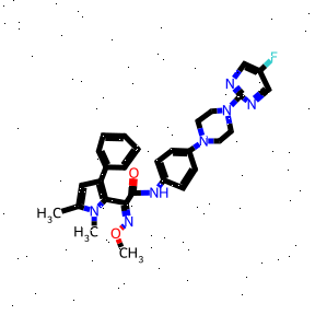 CON=C(C(=O)Nc1ccc(N2CCN(c3ncc(F)cn3)CC2)cc1)c1c(-c2ccccc2)cc(C)n1C